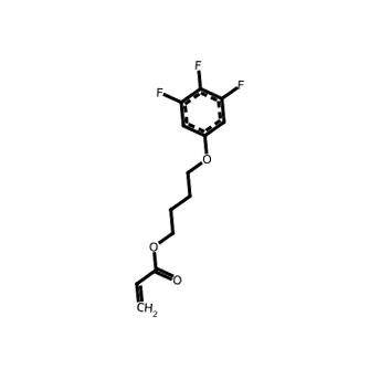 C=CC(=O)OCCCCOc1cc(F)c(F)c(F)c1